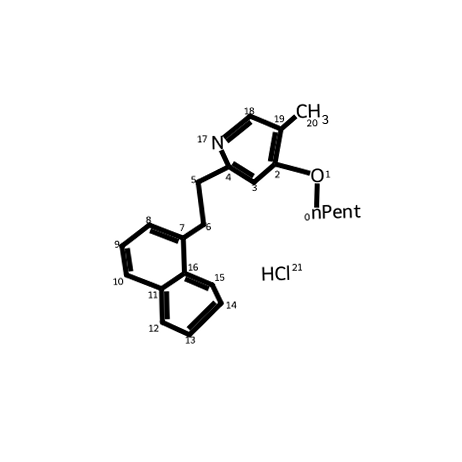 CCCCCOc1cc(CCc2cccc3ccccc23)ncc1C.Cl